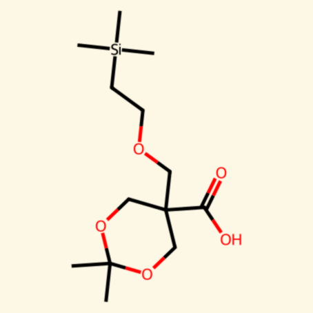 CC1(C)OCC(COCC[Si](C)(C)C)(C(=O)O)CO1